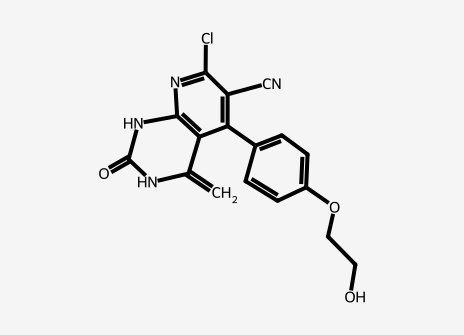 C=C1NC(=O)Nc2nc(Cl)c(C#N)c(-c3ccc(OCCO)cc3)c21